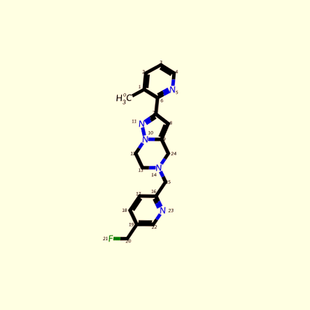 Cc1cccnc1-c1cc2n(n1)CCN(Cc1ccc(CF)cn1)C2